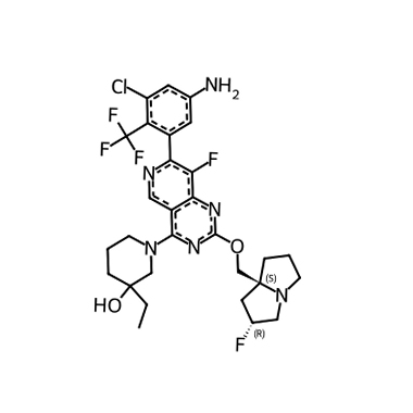 CCC1(O)CCCN(c2nc(OC[C@@]34CCCN3C[C@H](F)C4)nc3c(F)c(-c4cc(N)cc(Cl)c4C(F)(F)F)ncc23)C1